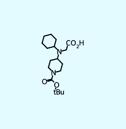 CC(C)(C)OC(=O)N1CCC(N(CC(=O)O)C2CCCCC2)CC1